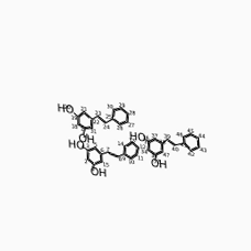 Oc1cc(O)cc(/C=C/c2ccccc2)c1.Oc1cc(O)cc(/C=C/c2ccccc2)c1.Oc1cc(O)cc(/C=C/c2ccccc2)c1